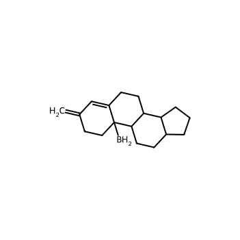 BC12CCC(=C)C=C1CCC1C3CCCC3CCC12